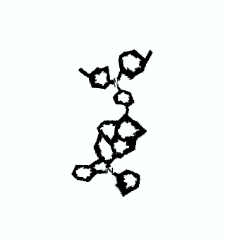 Cc1ccc(N(c2ccc(C)cc2)c2ccc(-c3ccc4ccc5c6c(ccc3c46)cc3c4ccccc4n(-c4ccccc4)c35)cc2)cc1